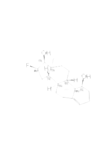 C[C@]12CC[C@H]3[C@@H](CCC4=CCC[C@H](O)[C@@]43C)[C@@H]1C[C@@H](F)[C@H]2O